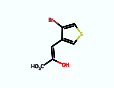 O=C(O)/C(O)=C/c1cscc1Br